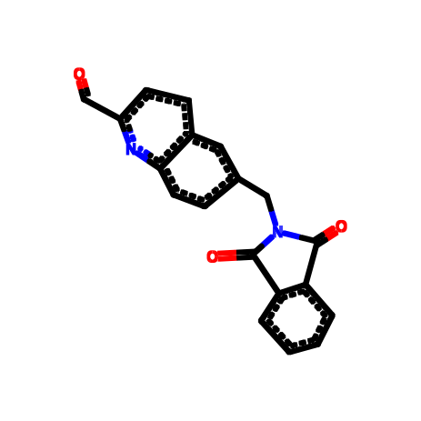 O=Cc1ccc2cc(CN3C(=O)c4ccccc4C3=O)ccc2n1